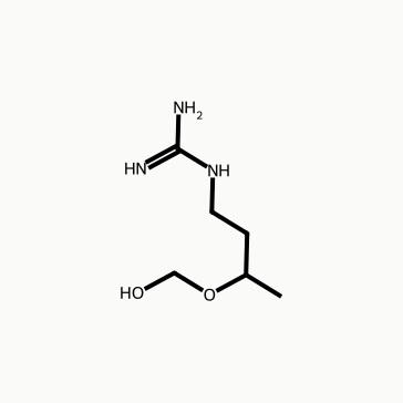 CC(CCNC(=N)N)OCO